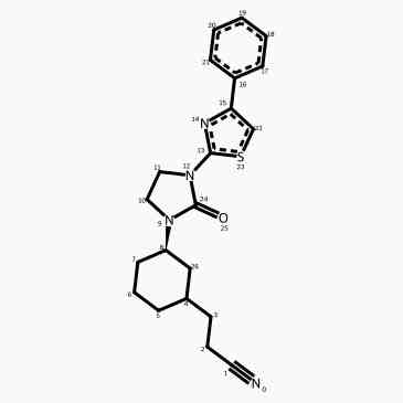 N#CCCC1CCC[C@@H](N2CCN(c3nc(-c4ccccc4)cs3)C2=O)C1